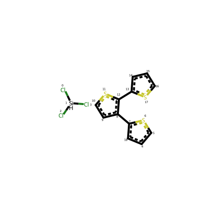 Cl[SiH](Cl)Cl.c1csc(-c2ccsc2-c2cccs2)c1